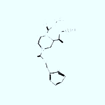 CC(C)(C)OC(=O)C1CN(C(=O)OCc2ccccc2)CCN1C(=O)OC(C)(C)C